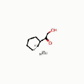 CC[C@H](C)[C@@H]1CCCCC1C(=O)CO